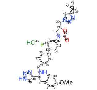 COc1ccc(CC(NCc2ccc(-c3ccc(N4C[C@H](Cn5cc([Si](C)(C)C)nn5)OC4=O)cc3F)cc2)c2c[nH]nn2)cc1.Cl